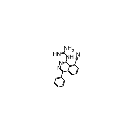 N#Cc1cccc2c(-c3ccccc3)nnc(NC(=N)N)c12